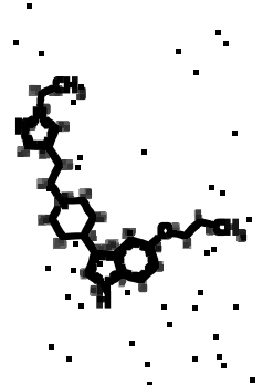 CCCOc1ccc2[nH]cc(C3CCN(CCc4cnn(CC)c4)CC3)c2c1